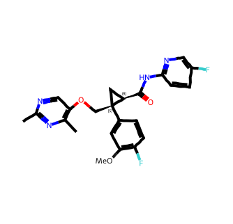 COc1cc([C@]2(COc3cnc(C)nc3C)C[C@H]2C(=O)Nc2ccc(F)cn2)ccc1F